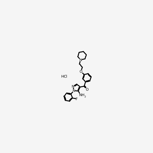 Cl.Nc1c(C(=O)c2cccc(OCCN3CCCCC3)c2)cnn1-c1ccccc1F